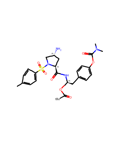 Cc1ccc(S(=O)(=O)N2C[C@H](N)C[C@H]2C(=O)N[C@@H](Cc2ccc(OC(=O)N(C)C)cc2)OC(=O)C(C)(C)C)cc1